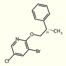 C[C@H](COc1ncc(Cl)cc1Br)c1ccccc1